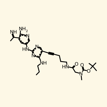 CCCNc1nc(Nc2cnc(N)c(C(C)=N)c2)ncc1C#CCCCNC(=O)CN(C)C(=O)OC(C)(C)C